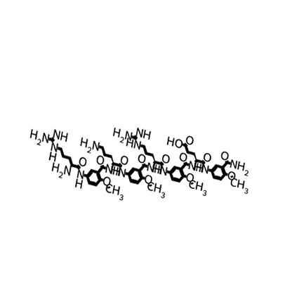 COc1ccc(NC(=O)[C@H](CCC(=O)O)NC(=O)c2cc(NC(=O)[C@H](CCCNC(=N)N)NC(=O)c3cc(NC(=O)[C@H](CCCN)NC(=O)c4cc(NC(=O)[C@@H](N)CCCNC(=N)N)ccc4OC)ccc3OC)ccc2OC)cc1C(N)=O